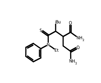 CCC(C)C(C(=S)N(CC)c1ccccc1)C(CC(N)=O)C(N)=O